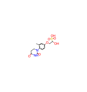 Cc1cc(OCC(O)S(=O)(=O)O)ccc1N1CCC(=O)NC1=O